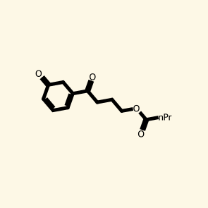 CCCC(=O)OCCCC(=O)C1=CC=CC(=O)C1